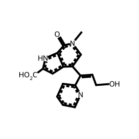 Cn1cc(C(=CCO)c2ccccn2)c2cc(C(=O)O)[nH]c2c1=O